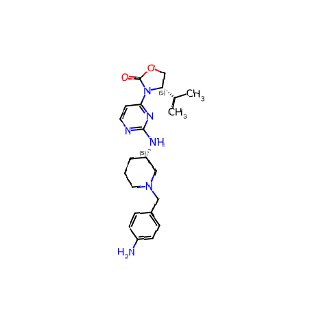 CC(C)[C@H]1COC(=O)N1c1ccnc(N[C@H]2CCCN(Cc3ccc(N)cc3)C2)n1